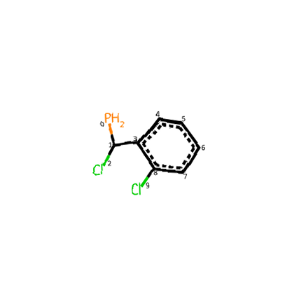 PC(Cl)c1ccccc1Cl